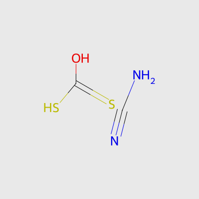 N#CN.OC(=S)S